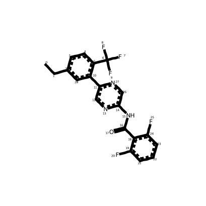 CCc1ccc(C(F)(F)F)c(-c2cnc(NC(=O)c3c(F)cccc3F)cn2)c1